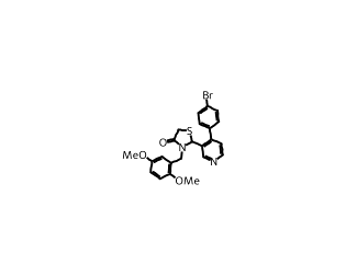 COc1ccc(OC)c(CN2C(=O)CSC2c2cnccc2-c2ccc(Br)cc2)c1